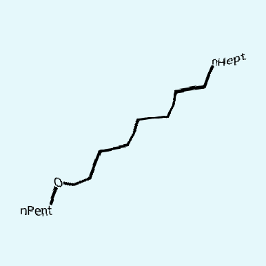 [CH2]CCCCOCCCCCCCCCCCCCC